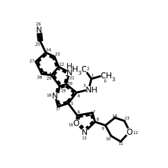 CC(C)Nc1c(-c2cc(C3CCOCC3)no2)cnc2c1[nH]c1cc(C#N)ccc12